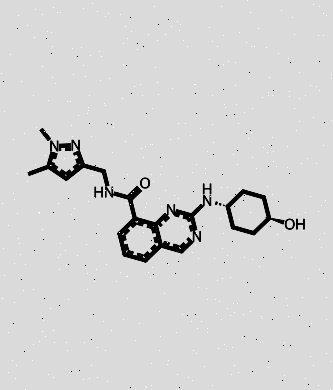 Cc1cc(CNC(=O)c2cccc3cnc(N[C@H]4CC[C@H](O)CC4)nc23)nn1C